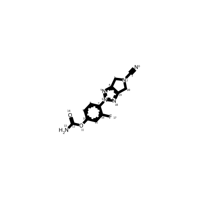 N#CN1Cc2nn(-c3ccc(OC(N)=O)cc3F)nc2C1